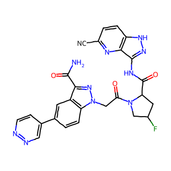 N#Cc1ccc2[nH]nc(NC(=O)C3CC(F)CN3C(=O)Cn3nc(C(N)=O)c4cc(-c5ccnnc5)ccc43)c2n1